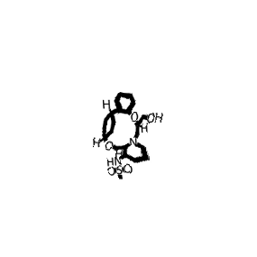 CS(=O)(=O)NC1CCCN2C[C@@H](CO)Oc3ccccc3[C@H]3CC[C@H](CC3)OC[C@@H]12